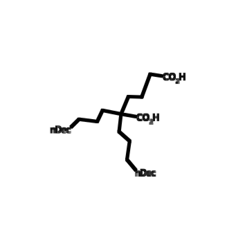 CCCCCCCCCCCCCC(CCCCCCCCCCCCC)(CCCC(=O)O)C(=O)O